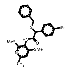 CSc1cc(C)nc(SC)c1NC(=O)C(SCc1ccccc1)c1ccc(C(C)C)cc1